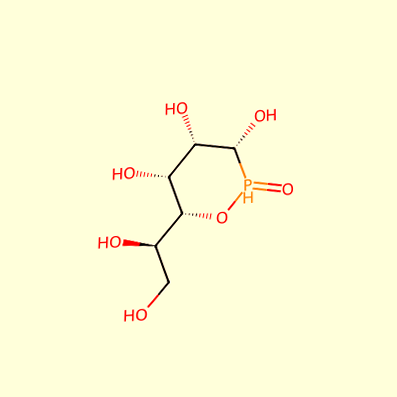 O=[PH]1O[C@H]([C@H](O)CO)[C@H](O)[C@H](O)[C@@H]1O